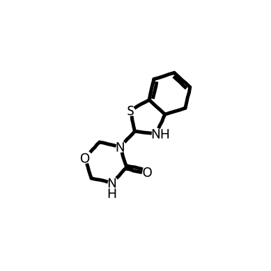 O=C1NCOCN1C1NC2CC=CC=C2S1